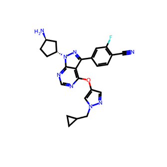 N#Cc1ccc(-c2nn([C@@H]3CC[C@@H](N)C3)c3ncnc(Oc4cnn(CC5CC5)c4)c23)cc1F